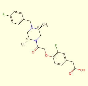 C[C@@H]1CN(Cc2ccc(F)cc2)[C@@H](C)CN1C(=O)COc1ccc(CC(=O)O)cc1F